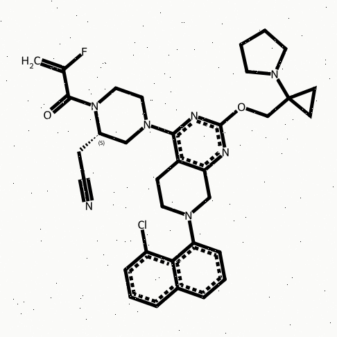 C=C(F)C(=O)N1CCN(c2nc(OCC3(N4CCCC4)CC3)nc3c2CCN(c2cccc4cccc(Cl)c24)C3)C[C@@H]1CC#N